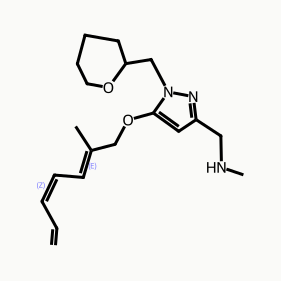 C=C/C=C\C=C(/C)COc1cc(CNC)nn1CC1CCCCO1